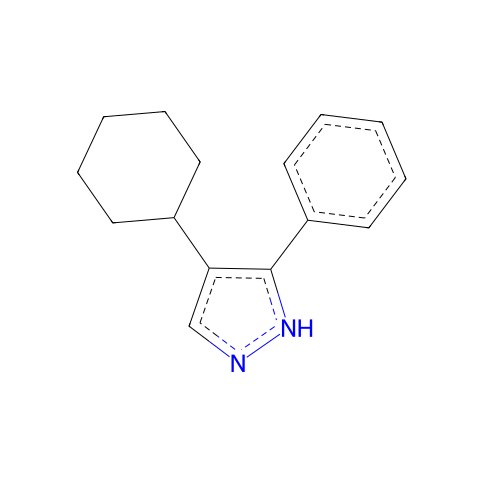 c1ccc(-c2[nH]ncc2C2CCCCC2)cc1